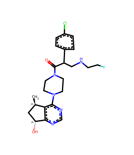 C[C@@H]1C[C@@H](O)c2ncnc(N3CCN(C(=O)C(CNCCF)c4ccc(Cl)cc4)CC3)c21